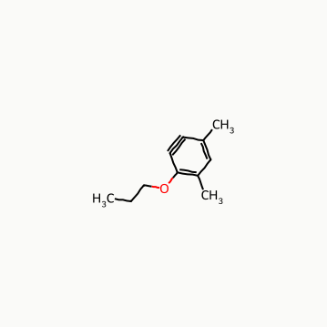 CCCOc1c#cc(C)cc1C